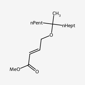 CCCCCCCC(C)(CCCCC)OC/C=C/C(=O)OC